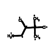 CC(C)(Cl)C(Cl)CN